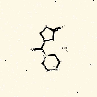 Cl.O=C1CCC(C(=O)N2CCNCC2)C1